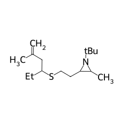 C=C(C)CC(CC)SCCC1C(C)N1C(C)(C)C